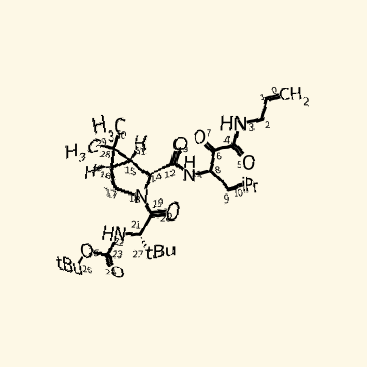 C=CCNC(=O)C(=O)C(CC(C)C)NC(=O)[C@@H]1[C@@H]2[C@H](CN1C(=O)[C@@H](NC(=O)OC(C)(C)C)C(C)(C)C)C2(C)C